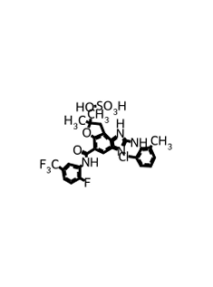 Cc1cccc(Cl)c1Nc1nc2cc(C(=O)Nc3cc(C(F)(F)F)ccc3F)c3c(c2[nH]1)CC(C)(C)O3.O=S(=O)(O)O